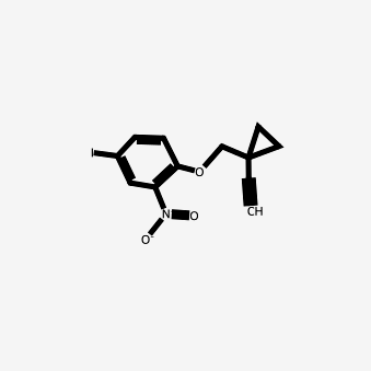 C#CC1(COc2ccc(I)cc2[N+](=O)[O-])CC1